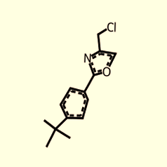 CC(C)(C)c1ccc(-c2nc(CCl)co2)cc1